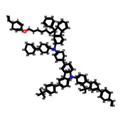 C=CC1C=CC(OCCCCCCC2(c3ccccc3)c3cc(N(C4=CC=C(c5ccc6c(c5)c5cc(-c7ccc(C(C)(C)C)cc7)ccc5n6-c5ccc6c(c5)C(C)(C)c5cc(C7=CCC(C=C)C=C7)ccc5-6)CC4)C4=CCC(C5=CCCCC5)CC4)ccc3C3C=CC=CC32)=CC1